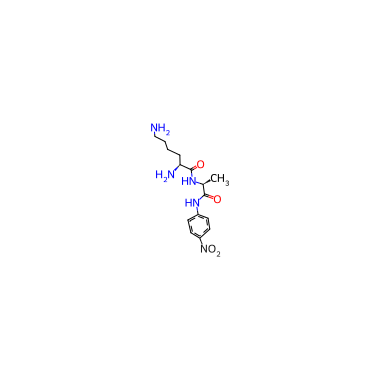 C[C@H](NC(=O)[C@@H](N)CCCCN)C(=O)Nc1ccc([N+](=O)[O-])cc1